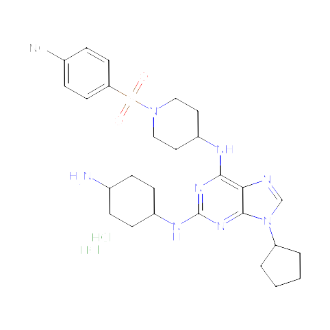 Cl.Cl.N#Cc1ccc(S(=O)(=O)N2CCC(Nc3nc(NC4CCC(N)CC4)nc4c3ncn4C3CCCC3)CC2)cc1